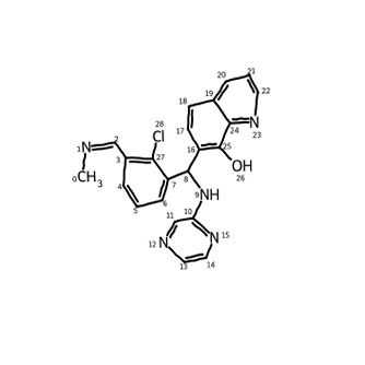 C/N=C\c1cccc(C(Nc2cnccn2)c2ccc3cccnc3c2O)c1Cl